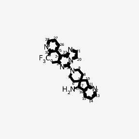 Cc1nc(N2CCC3(CC2)Cc2ncccc2[C@H]3N)n2ccnc2c1-c1cccnc1C(F)(F)F